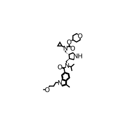 COCCCn1cc(C)c2ccc(C(=O)N(C[C@@H]3CNC[C@H]3CN(C(=O)OC3CCOCC3)C3CC3)C(C)C)cc21